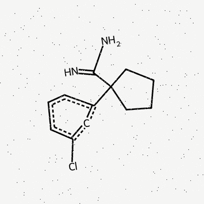 N=C(N)C1(c2cccc(Cl)c2)CCCC1